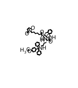 COc1ccc(C(NCCCC[C@H](NC(=O)[C@H](Cc2ccccc2)NC(=O)CCCCCN2C(=O)C=CC2=O)C(=O)O)(c2ccccc2)c2ccccc2)cc1